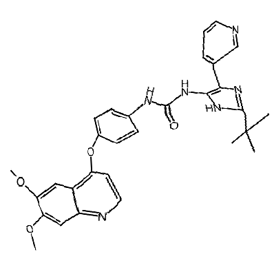 COc1cc2nccc(Oc3ccc(NC(=O)Nc4[nH]c(C(C)(C)C)nc4-c4cccnc4)cc3)c2cc1OC